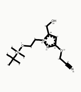 CC(C)(C)[Si](C)(C)OCCn1nc(OCC#N)cc1CO